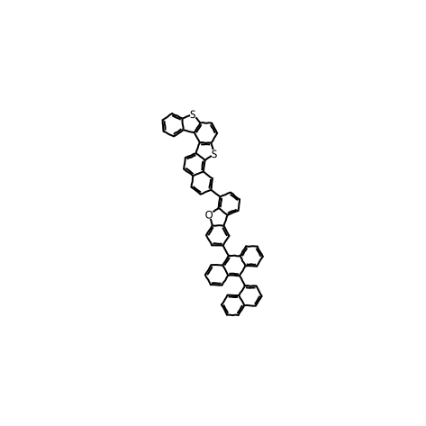 c1ccc2c(-c3c4ccccc4c(-c4ccc5oc6c(-c7ccc8ccc9c(sc%10ccc%11sc%12ccccc%12c%11c%109)c8c7)cccc6c5c4)c4ccccc34)cccc2c1